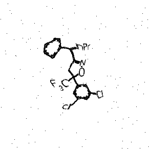 CCCC(C1=NOC(c2cc(Cl)cc(Cl)c2)(C(F)(F)F)C1)c1ccccc1